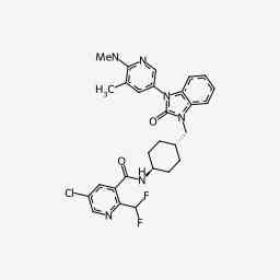 CNc1ncc(-n2c(=O)n(C[C@H]3CC[C@H](NC(=O)c4cc(Cl)cnc4C(F)F)CC3)c3ccccc32)cc1C